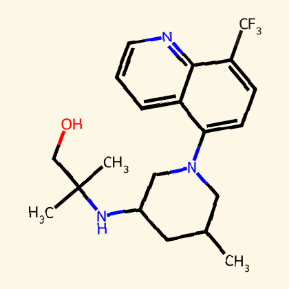 CC1CC(NC(C)(C)CO)CN(c2ccc(C(F)(F)F)c3ncccc23)C1